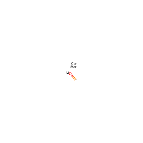 O=[P].[Co].[Li].[Mn]